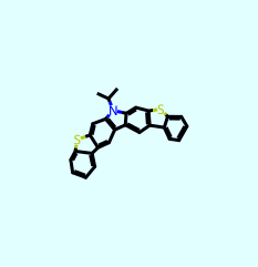 CC(C)n1c2cc3sc4ccccc4c3cc2c2cc3c(cc21)sc1ccccc13